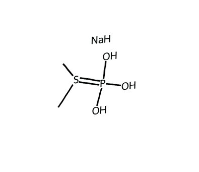 CS(C)=P(O)(O)O.[NaH]